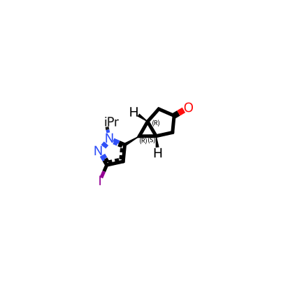 CC(C)n1nc(I)cc1[C@H]1[C@@H]2CC(=O)C[C@@H]21